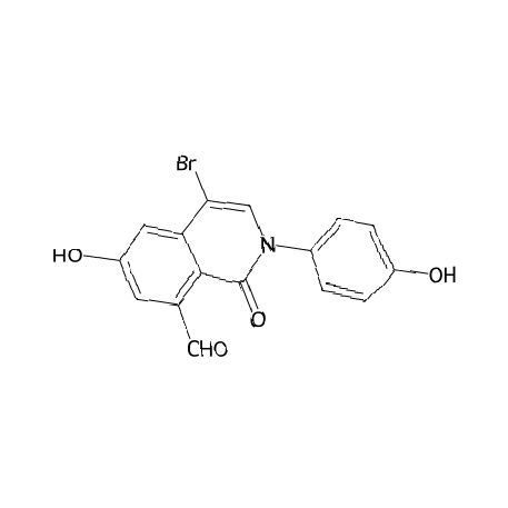 O=Cc1cc(O)cc2c(Br)cn(-c3ccc(O)cc3)c(=O)c12